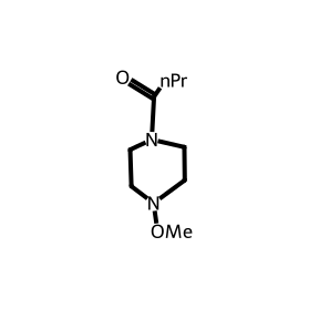 CCCC(=O)N1CCN(OC)CC1